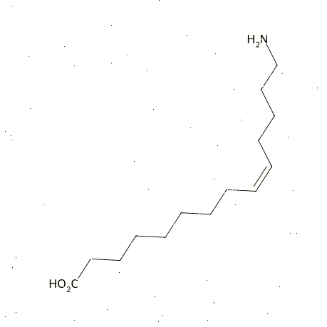 NCCCC/C=C\CCCCCCCC(=O)O